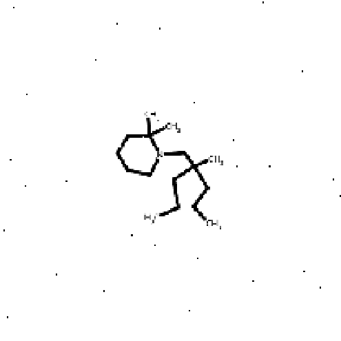 CCCC(C)(CCC)CN1CCCCC1(C)C